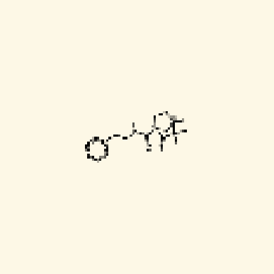 CC1(C)C(=O)[C@]2(C(=O)NCCc3ccccc3)CC[C@H]1C2